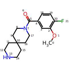 COc1cc(C(=O)N2CCC3(CCNCC3)CC2)ccc1F